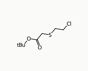 CC(C)(C)OC(=O)CSCCCl